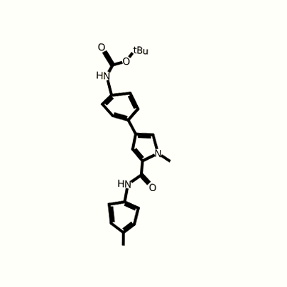 Cc1ccc(NC(=O)c2cc(-c3ccc(NC(=O)OC(C)(C)C)cc3)cn2C)cc1